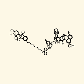 C#Cc1c(F)ccc2cc(O)cc(-c3ncc4c(N5CC6CCC(C5)N6)nc(OC[C@@]56CC[C@@H](COC(=O)N(C)CCCCCCCCc7ccc8c(c7)C(=O)N(C7CCC(=O)NC7=O)C8=O)N5CC(=C)C6)nc4c3F)c12